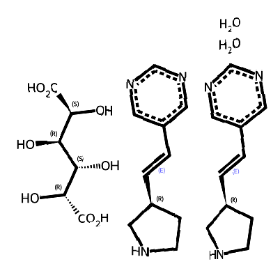 C(=C\[C@H]1CCNC1)/c1cncnc1.C(=C\[C@H]1CCNC1)/c1cncnc1.O.O.O=C(O)[C@@H](O)[C@H](O)[C@H](O)[C@@H](O)C(=O)O